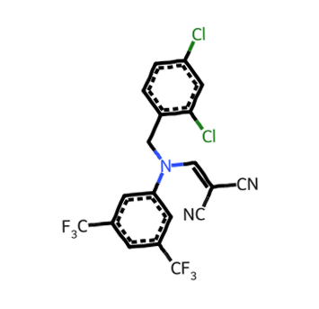 N#CC(C#N)=CN(Cc1ccc(Cl)cc1Cl)c1cc(C(F)(F)F)cc(C(F)(F)F)c1